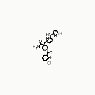 NC(=O)C1(Cc2cccc(Nc3cc[nH]n3)n2)CCN(C(=O)c2cccc(Cl)c2F)CC1